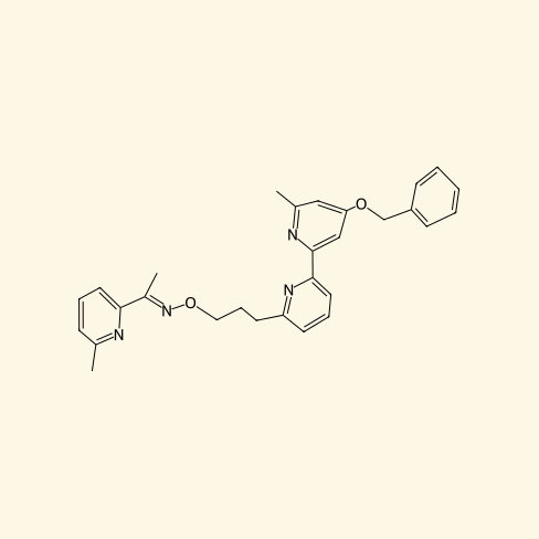 C/C(=N\OCCCc1cccc(-c2cc(OCc3ccccc3)cc(C)n2)n1)c1cccc(C)n1